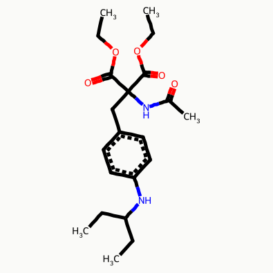 CCOC(=O)C(Cc1ccc(NC(CC)CC)cc1)(NC(C)=O)C(=O)OCC